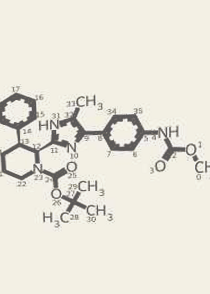 COC(=O)Nc1ccc(-c2nc([C@@H]3[C@H](c4ccccc4)CCCN3C(=O)OC(C)(C)C)[nH]c2C)cc1